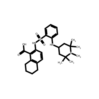 CN1C(C)(C)CC(Nc2ccccc2S(=O)(=O)Nc2ccc3c(c2C(=O)O)CCCC3)CC1(C)C